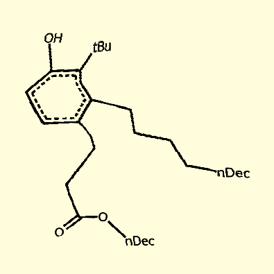 CCCCCCCCCCCCCCc1c(CCC(=O)OCCCCCCCCCC)ccc(O)c1C(C)(C)C